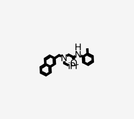 Cc1ccccc1NC(=O)CN(Cc1ccc2ccccc2c1)CC(C)C